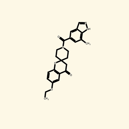 CCOc1ccc2c(c1)C(=O)CC1(CCN(C(=O)c3cc(C)c4[nH]ncc4c3)CC1)O2